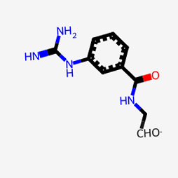 N=C(N)Nc1cccc(C(=O)NC[C]=O)c1